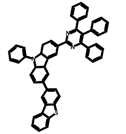 C1=CC2C(C=C1c1ccc3sc4ccccc4c3c1)C1=CC(c3nc(-c4ccccc4)c(-c4ccccc4)c(-c4ccccc4)n3)=CCC1N2c1ccccc1